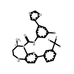 C[C@@H]1CCNc2ccc(-c3cccc(C(F)(F)F)c3)nc2N1C(=O)Nc1cc(Br)cc(-c2cnco2)c1